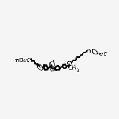 CCCCCCCCCCCCCCCCCCCCOC(C)c1ccc(-c2ccc(OC(=O)c3ccc(OCCCCCCCCCCCCCCC)cc3)cc2)cc1